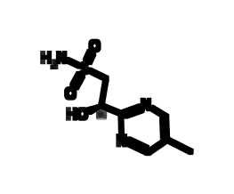 Cc1cnc([C@@H](O)CS(N)(=O)=O)nc1